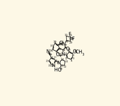 COc1cccc(N(C(=O)[C@@H]2CCC(O)N2c2cc(C#N)ccn2)[C@H](C(=O)NC2CC(F)(F)C2)c2ccccc2Cl)c1